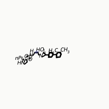 CCCN1NCCC1S(=O)(=O)NC/C=C\CN1CC(c2ccc(-c3cccc(C)c3C)cc2)[C@H]1CO